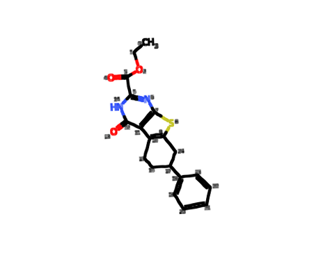 CCOC(=O)c1nc2sc3c(c2c(=O)[nH]1)CCC(c1ccccc1)C3